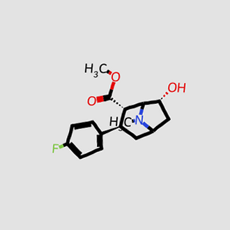 COC(=O)[C@@H]1C2[C@H](O)CC(C[C@H]1c1ccc(F)cc1)N2C